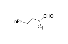 [2H]C(C=O)CCCCC